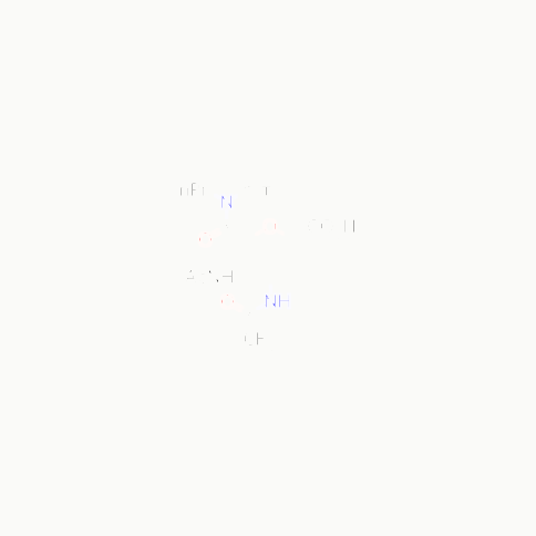 CCCN(CCC)C(=O)C1OC(C(=O)O)=CC(NC(=O)C(F)(F)F)C1NC(C)=O